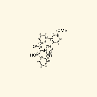 COc1cccc(-c2cccc(C(=O)C3=C(O)c4ccccc4S(=O)(=O)N3C)c2)c1